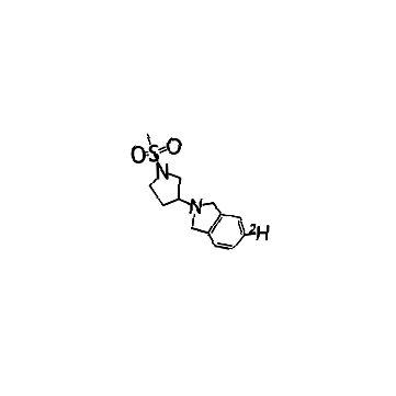 [2H]c1ccc2c(c1)CN(C1CCN(S(C)(=O)=O)C1)C2